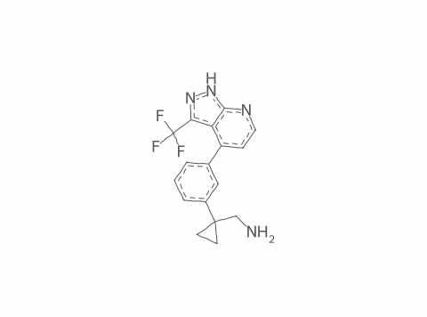 NCC1(c2cccc(-c3ccnc4[nH]nc(C(F)(F)F)c34)c2)CC1